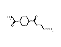 NCCCC(=O)N1CCN(C(N)=O)CC1